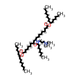 CCCCCCCCC(CCCCCC)OC(=O)CCCCCCCCC(CCCCCCCCC(=O)OC(CCCCCC)CCCCCCCC)N(CCCN(C)C)C(=O)CCCCCCC